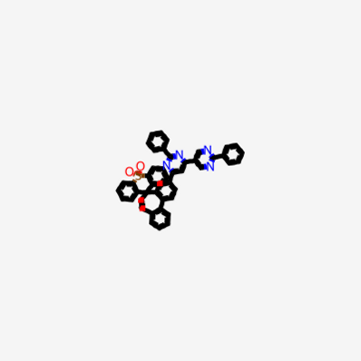 O=S1(=O)c2ccccc2C2(c3ccccc3-c3ccccc3-c3ccc(-c4cc(-c5cnc(-c6ccccc6)nc5)nc(-c5ccccc5)n4)cc32)c2ccccc21